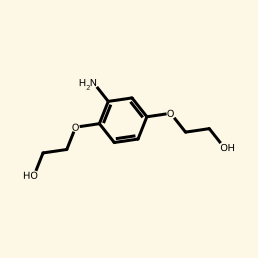 Nc1cc(OCCO)ccc1OCCO